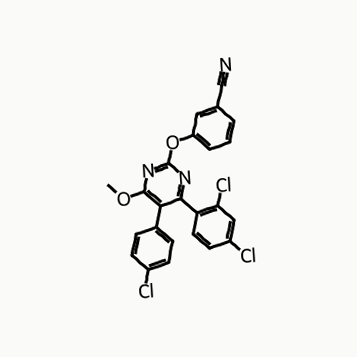 COc1nc(Oc2cccc(C#N)c2)nc(-c2ccc(Cl)cc2Cl)c1-c1ccc(Cl)cc1